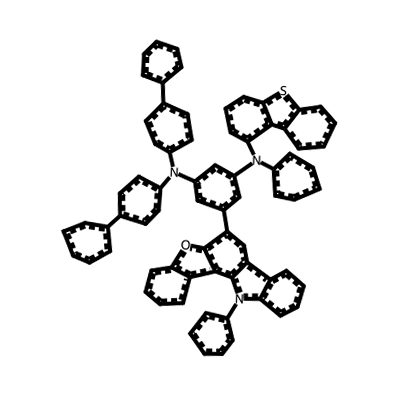 c1ccc(-c2ccc(N(c3ccc(-c4ccccc4)cc3)c3cc(-c4cc5c6ccccc6n(-c6ccccc6)c5c5c4oc4ccccc45)cc(N(c4ccccc4)c4cccc5sc6ccccc6c45)c3)cc2)cc1